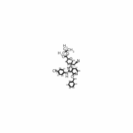 CC(C)(C)OC(=O)C1CCC(CC#N)(n2nc(Nc3ccc(Cl)cc3)c3c(OCc4ccccc4)nccc32)CO1